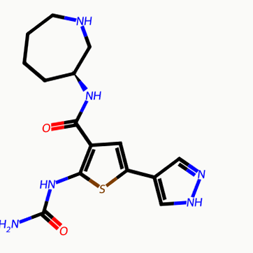 NC(=O)Nc1sc(-c2cn[nH]c2)cc1C(=O)N[C@H]1CCCCNC1